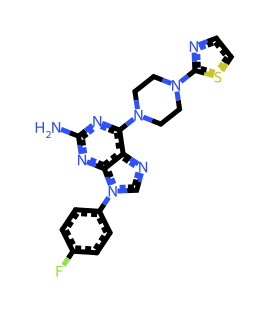 Nc1nc(N2CCN(c3nccs3)CC2)c2ncn(-c3ccc(F)cc3)c2n1